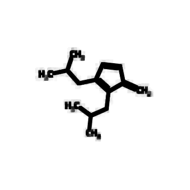 C=C1C=CC(CC(C)C)=C1CC(C)C